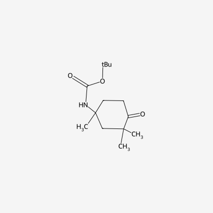 CC1(NC(=O)OC(C)(C)C)CCC(=O)C(C)(C)C1